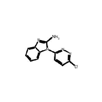 Nc1nc2ccccc2n1-c1ccc(Cl)nn1